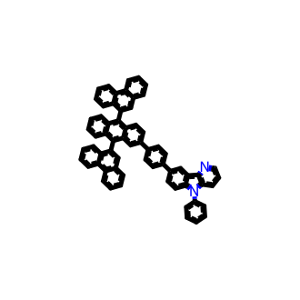 c1ccc(-n2c3ccc(-c4ccc(-c5ccc6c(-c7cc8ccccc8c8ccccc78)c7ccccc7c(-c7cc8ccccc8c8ccccc78)c6c5)cc4)cc3c3ncccc32)cc1